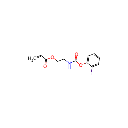 C=CC(=O)OCCNC(=O)Oc1ccccc1I